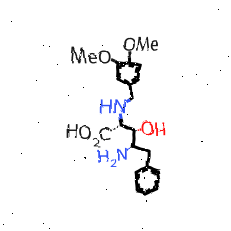 COc1ccc(CN[C@@H](C(=O)O)[C@H](O)[C@@H](N)Cc2ccccc2)cc1OC